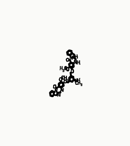 CNc1cc(COc2cc3c(cc2OC)C(=O)N2c4ccccc4C[C@H]2C=N3)cc(COc2cc3c(cc2OC)C(=O)N2c4ccccc4C[C@H]2CN3)c1